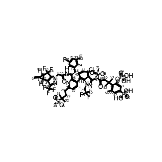 C=C1[C@@H]2c3c(C(F)(F)F)nn(CC(=O)N[C@@H](Cc4cc(F)cc(F)c4)c4nc(CCC(C)(C)S(C)(=O)=O)ccc4-c4ccc(Cl)c5c(N(C(=O)CC(C)(C)c6c(C)cc(P(=O)(O)O)cc6OP(=O)(O)O)S(C)(=O)=O)nn(CC(F)(F)F)c45)c3C(F)(F)[C@H]12